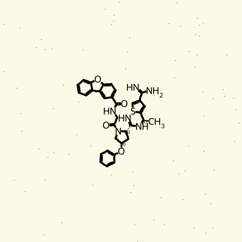 C[C@@H](NC(=N)[C@@H]1C[C@@H](Oc2ccccc2)CN1C(=O)CNC(=O)c1ccc2oc3ccccc3c2c1)c1cc(C(=N)N)cs1